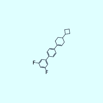 Fc1cc(F)cc(-c2ccc(C3=CCC(C4CCC4)CC3)cc2)c1